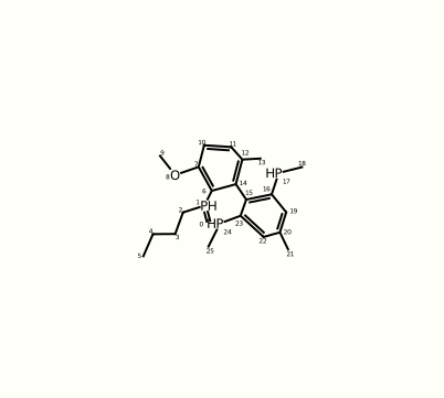 C=[PH](CCCC)c1c(OC)ccc(C)c1-c1c(PC)cc(C)cc1PC